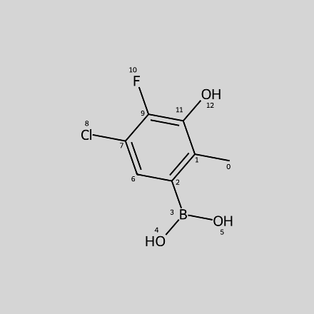 Cc1c(B(O)O)cc(Cl)c(F)c1O